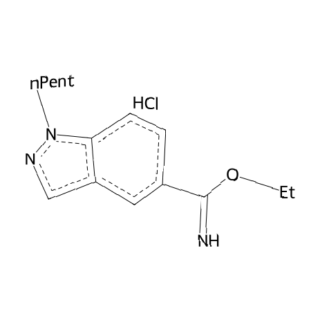 CCCCCn1ncc2cc(C(=N)OCC)ccc21.Cl